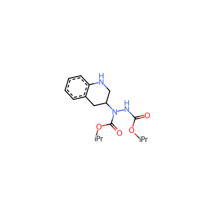 CC(C)OC(=O)NN(C(=O)OC(C)C)C1CNc2ccccc2C1